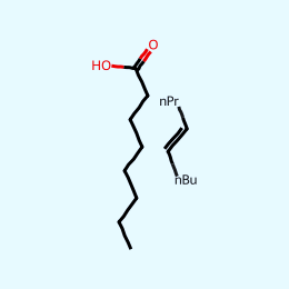 CCCC=CCCCC.CCCCCCCC(=O)O